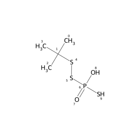 CC(C)(C)SSP(=O)(O)S